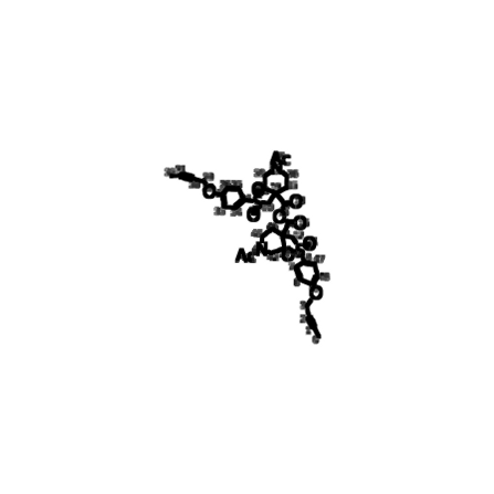 CC#CCOc1ccc(S(=O)(=O)CC2(C(=O)OC(=O)C3(CS(=O)(=O)c4ccc(OCC#CC)cc4)CCN(C(C)=O)CC3)CCN(C(C)=O)CC2)cc1